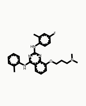 Cc1cc(F)ccc1Nc1nc(Nc2ccccc2C)c2cccc(OCCCN(C)C)c2n1